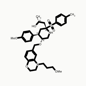 COCCCN1CCOc2ccc(CO[C@H]3CN[C@@](C[C@@H](C)O)(S(=O)(=O)c4ccc(C)cc4)C[C@@H]3c3ccc(OC)cc3)cc21